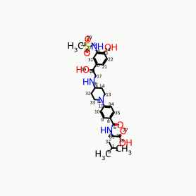 CC(C)C[C@H](NC(=O)c1ccc(N2CCC(NC[C@@H](O)c3ccc(O)c(NS(C)(=O)=O)c3)CC2)cc1)C(=O)O